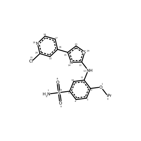 CC(C)Oc1ccc(S(N)(=O)=O)cc1Nc1nc(-c2ccnc(Cl)c2)cs1